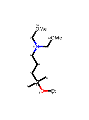 CCO[Si](C)(C)CCCN(COC)COC